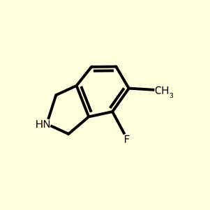 Cc1ccc2c(c1F)CNC2